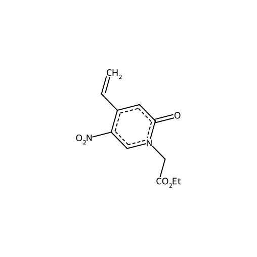 C=Cc1cc(=O)n(CC(=O)OCC)cc1[N+](=O)[O-]